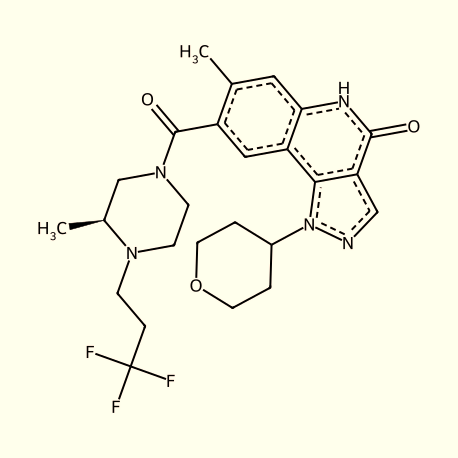 Cc1cc2[nH]c(=O)c3cnn(C4CCOCC4)c3c2cc1C(=O)N1CCN(CCC(F)(F)F)[C@@H](C)C1